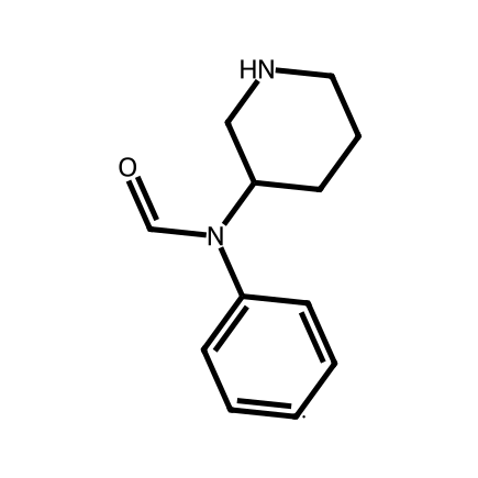 O=CN(c1cc[c]cc1)C1CCCNC1